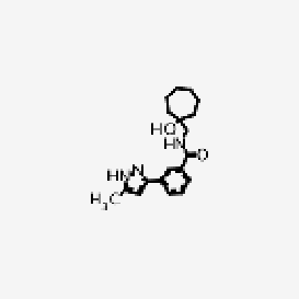 Cc1cc(-c2cccc(C(=O)NCC3(O)CCCCCC3)c2)n[nH]1